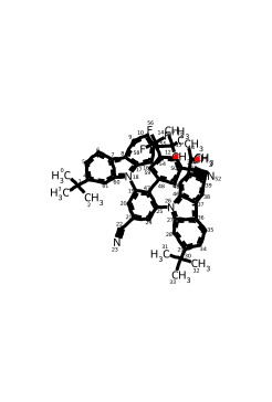 CC(C)(C)c1ccc2c3ccc(C(C)(C)C)cc3n(-c3cc(C#N)cc(-n4c5cc(C(C)(C)C)ccc5c5ccc(C(C)(C)C)cc54)c3-c3cc(C#N)cc(C(F)(F)F)c3)c2c1